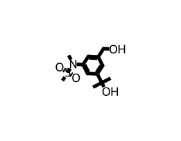 CN(c1cc(CO)cc(C(C)(C)O)c1)S(C)(=O)=O